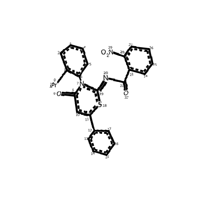 CC(C)c1ccccc1-n1c(=O)cc(-c2ccccc2)s/c1=N\C(=O)c1ccccc1[N+](=O)[O-]